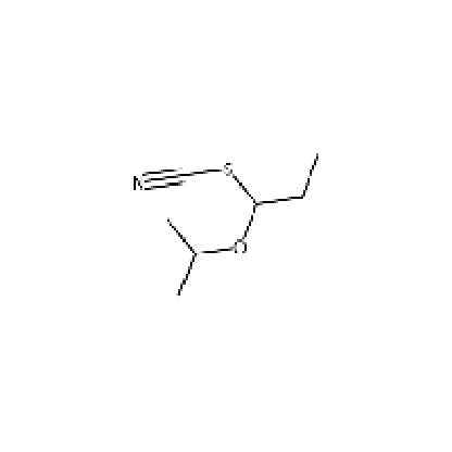 CCC(OC(C)C)SC#N